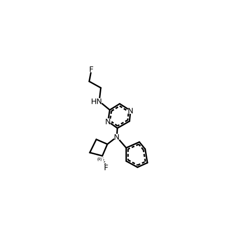 FCCNc1cncc(N(c2ccccc2)C2CC[C@H]2F)n1